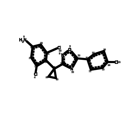 Nc1cc(Cl)c(C2(c3noc(-c4ccc(Cl)cc4)n3)CC2)c(Cl)c1